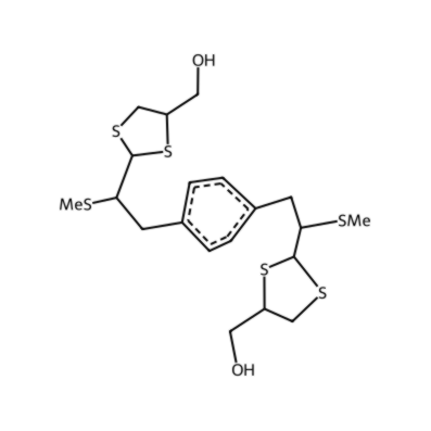 CSC(Cc1ccc(CC(SC)C2SCC(CO)S2)cc1)C1SCC(CO)S1